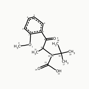 COc1ccccc1C(=O)C(C)N(C(=O)O)C(C)(C)C